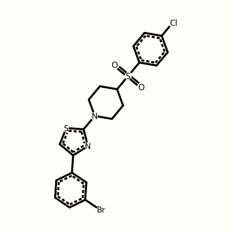 O=S(=O)(c1ccc(Cl)cc1)C1CCN(c2nc(-c3cccc(Br)c3)cs2)CC1